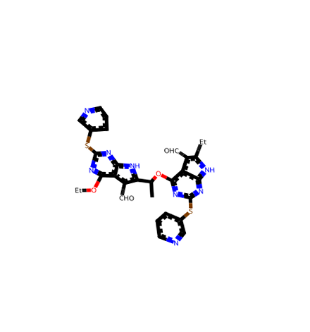 CCOc1nc(Sc2cccnc2)nc2[nH]c(C(C)Oc3nc(Sc4cccnc4)nc4[nH]c(CC)c(C=O)c34)c(C=O)c12